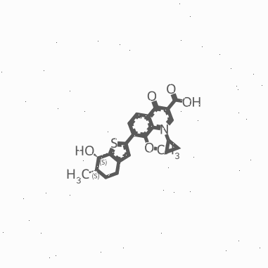 COc1c(-c2cc3c(s2)[C@@H](O)[C@@H](C)CC3)ccc2c(=O)c(C(=O)O)cn(C3CC3)c12